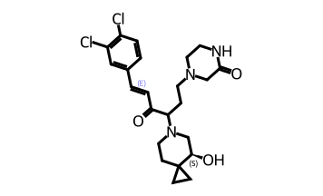 O=C1CN(CCC(C(=O)/C=C/c2ccc(Cl)c(Cl)c2)N2CCC3(CC3)[C@H](O)C2)CCN1